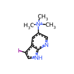 C[N+](C)(C)c1cnc2[nH]cc(I)c2c1